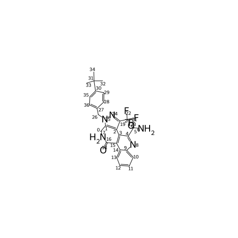 Cc1c(-c2c(C(N)=O)nc3ccccc3c2C(N)=O)c(C(F)(F)F)nn1Cc1ccc(C(C)(C)C)cc1